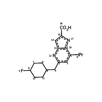 CC(C)c1cc(CC2CCC(F)CC2)nc2cc(C(=O)O)nn12